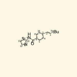 CC(C)(C)/C=C/c1ccc(C(=O)Nc2nccs2)cc1